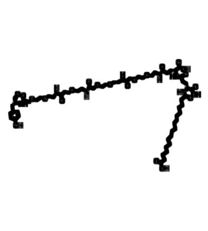 O=C[C@H](Cc1ccc(O)cc1)NC(=O)COCCOCCNC(=O)CCOCCNC(=O)COCCOCCNC(=O)COCCOCCNC(=O)CC[C@@H](NC(=O)CC[C@@H](NC(=O)CCCCCCCCCCCCCCCCC(=O)O)C(=O)O)C(=O)O